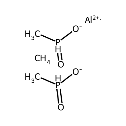 C.C[PH](=O)[O-].C[PH](=O)[O-].[Al+2]